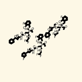 CC(=O)N(NCc1cccc(F)c1Cl)[C@@H](CNCC(F)F)COC(=O)Nc1cc(-c2cccc(F)c2)no1.CC(=O)N(NCc1cccc(F)c1Cl)[C@@H](CNCC(F)F)COC(=O)Nc1cc(-c2ccccc2)on1.CC(=O)N(NCc1cccc(F)c1Cl)[C@@H](CNCC(F)F)CON(C=O)c1cc(-c2cccc(F)c2)on1